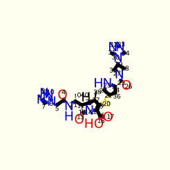 C[C@@H](NC(=O)Cn1cnnn1)[C@H]1C(=O)N2C(C(=O)O)=C(S[C@@H]3CN[C@H](C(=O)N4CC(n5cnnc5)C4)C3)[C@H](C)[C@H]12